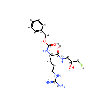 N=C(N)NCCC[C@H](NC(=O)OCc1ccccc1)C(=O)NCC(O)CF